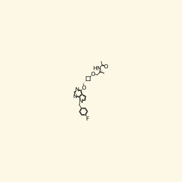 CC(=O)N[C@@H](C)CO[C@H]1C[C@H](COc2ncnc3c2ccn3Cc2ccc(F)cc2)C1